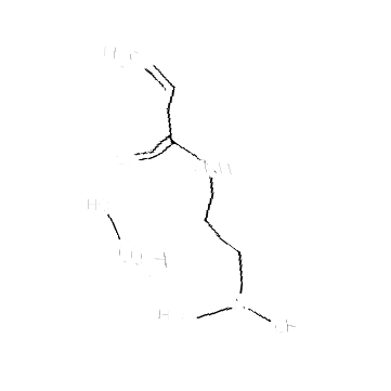 C=CC(=O)NCCN(C)C.O=C(O)O